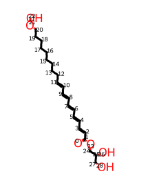 O=C(C=CC=CC=CC=CC=CCCCCCCCCCOO)OC[C@@H](O)CO